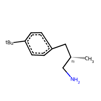 C[C@H](CN)Cc1ccc(C(C)(C)C)cc1